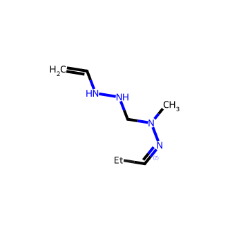 C=CNNCN(C)/N=C\CC